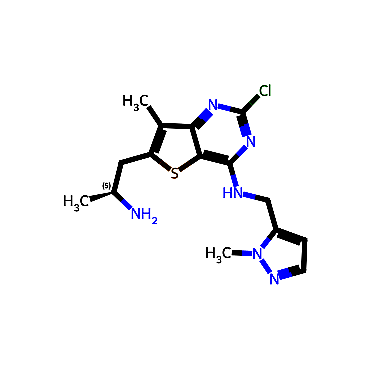 Cc1c(C[C@H](C)N)sc2c(NCc3ccnn3C)nc(Cl)nc12